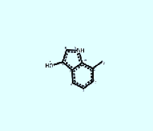 Cc1cccc2c(O)c[nH]c12